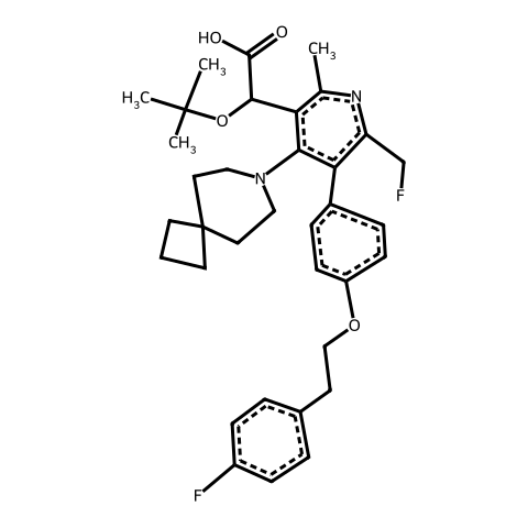 Cc1nc(CF)c(-c2ccc(OCCc3ccc(F)cc3)cc2)c(N2CCC3(CCC3)CC2)c1C(OC(C)(C)C)C(=O)O